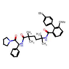 COc1cccc(C(=O)NC(C)(C)CCC(C)(C)C(=O)N[C@H](C(=O)N2CCCC2)c2ccccc2)c1-c1ccc(C(C)(C)C)cc1